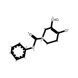 O=CC1=C(Cl)CCN(C(=O)Oc2ccccc2)C1